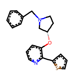 c1ccc(CN2CC[C@H](Oc3cccnc3-c3cccs3)C2)cc1